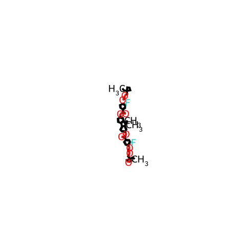 CCC1(COCOc2ccc(C(=O)Oc3ccc4c(c3)C(C)(C)c3cc(OC(=O)c5ccc(OCOCC6(CC)COC6)c(F)c5)ccc3-4)cc2F)CCC1